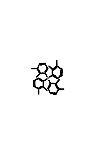 Cc1cccc([B-](c2cccc(C)c2C)(c2cccc(C)c2C)c2cccc(C)c2C)c1C